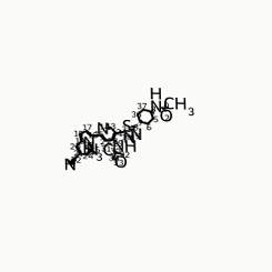 CC(=O)N[C@H]1CC[C@H](c2nnc(-c3cnc(-c4ccc5cc(C#N)cnn45)cc3NC3(C)COC3)s2)CC1